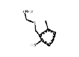 CCCCCCCCSCc1c(C)cccc1O